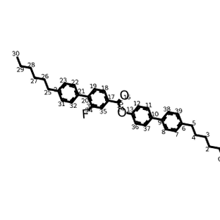 CCCCCCc1ccc(-c2ccc(OC(=O)c3ccc(-c4ccc(CCCCCC)cc4)c(F)c3)cc2)cc1